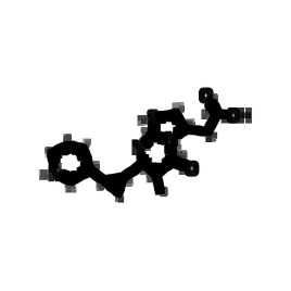 Cc1c(C2CC2c2cccnc2)nc2scc(CC(=O)O)n2c1=O